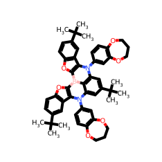 CC(C)(C)c1cc2c3c(c1)N(c1ccc4c(c1)OCCCO4)c1c(oc4ccc(C(C)(C)C)cc14)B3c1oc3ccc(C(C)(C)C)cc3c1N2c1ccc2c(c1)OCCCO2